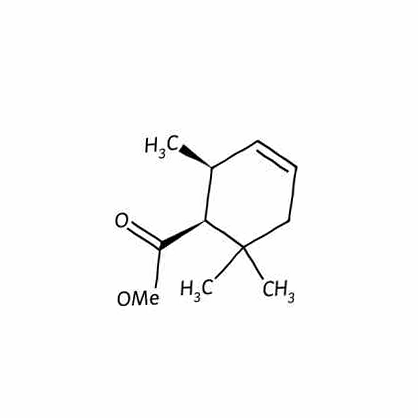 COC(=O)[C@H]1[C@@H](C)C=CCC1(C)C